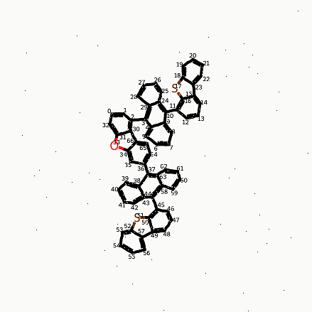 c1cc(-c2c3ccccc3c(-c3cccc4c3sc3ccccc34)c3ccccc23)c2c(c1)oc1cc(-c3c4ccccc4c(-c4cccc5c4sc4ccccc45)c4ccccc34)ccc12